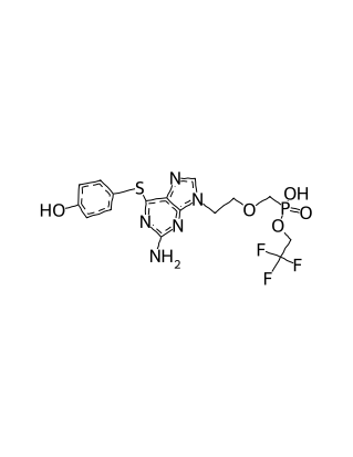 Nc1nc(Sc2ccc(O)cc2)c2ncn(CCOCP(=O)(O)OCC(F)(F)F)c2n1